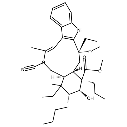 CCCC[C@H]1[C@H](O)[C@](CCC)(C(=O)OC)[C@H]2C[C@@](CC)(OC)c3[nH]c4ccccc4c3/C=C(\C)N(C#N)C[C@@H]2C1(C)CC